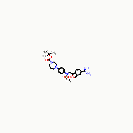 CC(C)(C)OC(=O)N1CCCN(c2ccc(N(Cc3occ4cc(C(=N)N)ccc34)S(C)(=O)=O)cc2)CC1